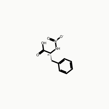 O=C(O)[C@@H](Cc1ccccc1)N[N+](=O)[O-]